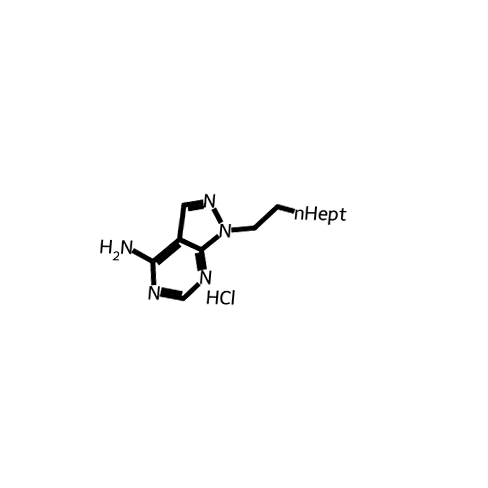 CCCCCCCCCn1ncc2c(N)ncnc21.Cl